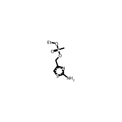 CCOP(C)(=O)OCc1csc(N)n1